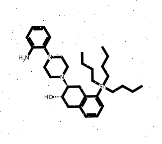 CCC[CH2][Sn]([CH2]CCC)([CH2]CCC)[c]1cccc2c1C[C@H](N1CCN(c3ccccc3N)CC1)[C@@H](O)C2